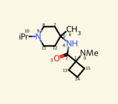 CNC1(C(=O)NC2(C)CCN(C(C)C)CC2)CCC1